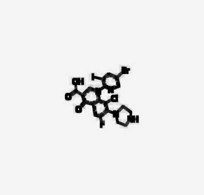 O=C(O)c1cn(-c2ncc(Br)cc2I)c2c(Cl)c(N3CCNCC3)c(F)cc2c1=O